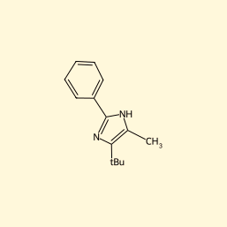 Cc1[nH]c(-c2ccccc2)nc1C(C)(C)C